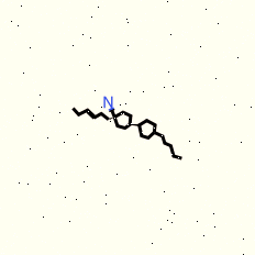 CC/C=C/CC[C@]1(C#N)CC[C@@H](C2CCC(CCCCC)CC2)CC1